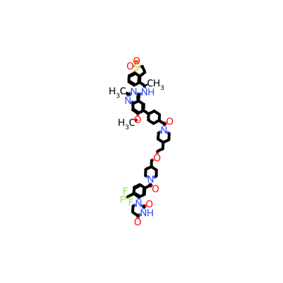 COc1cc2nc(C)nc(N[C@H](C)c3cccc4c3CCS4(=O)=O)c2cc1C1CCC(C(=O)N2CCC(CCOCC3CCN(C(=O)c4ccc(C(F)(F)F)c(N5CCC(=O)NC5=O)c4)CC3)CC2)CC1